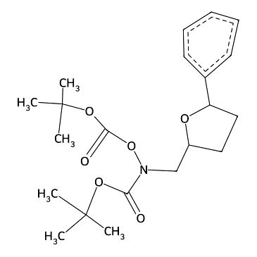 CC(C)(C)OC(=O)ON(CC1CCC(c2ccccc2)O1)C(=O)OC(C)(C)C